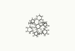 C1=CCC(c2cc[nH]c2-c2cc(-c3[nH]ccc3C3=CCCC=C3)cc(-c3[nH]ccc3-c3ccccc3)c2)C=C1